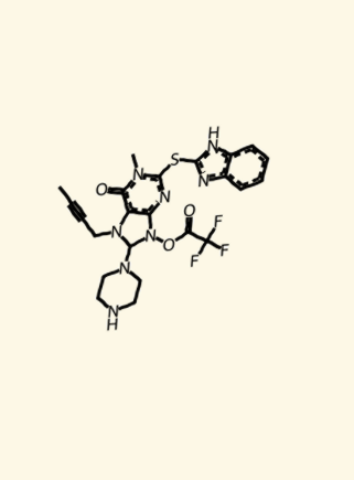 CC#CCN1c2c(nc(Sc3nc4ccccc4[nH]3)n(C)c2=O)N(OC(=O)C(F)(F)F)C1N1CCNCC1